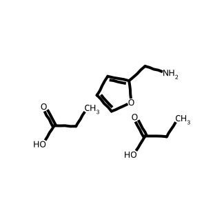 CCC(=O)O.CCC(=O)O.NCc1ccco1